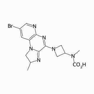 CC1CN2C(=N1)C(N1CC(N(C)C(=O)O)C1)=Nc1ncc(Br)cc12